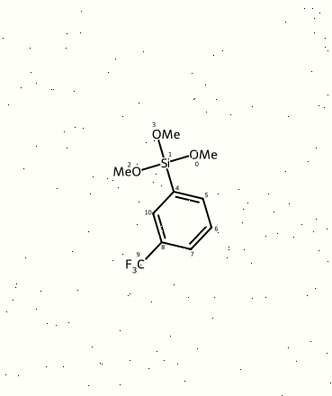 CO[Si](OC)(OC)c1cccc(C(F)(F)F)c1